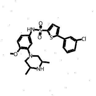 COc1ccc(NS(=O)(=O)c2ccc(-c3cccc(Cl)c3)s2)cc1N1CC(C)NC(C)C1